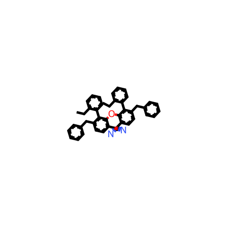 CCc1ccccc1-c1c(Cc2ccccc2)ccc(C#N)c1Oc1c(C#N)ccc(Cc2ccccc2)c1-c1ccccc1CC